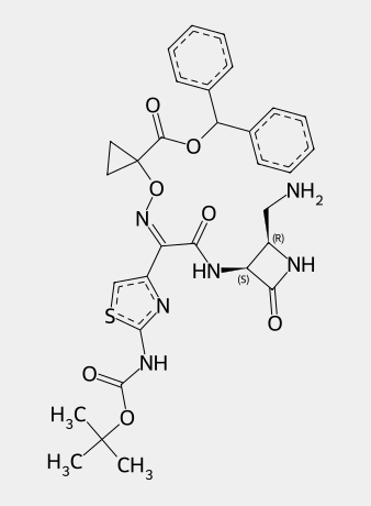 CC(C)(C)OC(=O)Nc1nc(C(=NOC2(C(=O)OC(c3ccccc3)c3ccccc3)CC2)C(=O)N[C@@H]2C(=O)N[C@@H]2CN)cs1